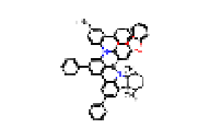 CCCCc1ccc(N2c3cc4c(cc3B3c5c(cc(-c6ccccc6)cc52)-c2cc(-c5ccccc5)cc5c2N3C2(C)CCCCC52C)oc2ccccc24)c(-c2ccccc2)c1